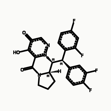 O=C1c2c(O)c(=O)cnn2[C@@H]([C@H](c2ccc(F)c(F)c2)c2ccc(F)cc2F)[C@H]2CCCN12